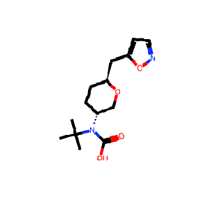 CC(C)(C)N(C(=O)O)[C@@H]1CC[C@@H](Cc2ccno2)OC1